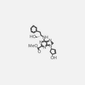 COC(=O)c1nc(N[C@H](CO)Cc2ccccc2)c2ncn([C@H]3C=C[C@@H](O)C3)c2n1